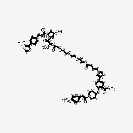 Cc1ncsc1-c1ccc(CNC(=O)[C@H]2C[C@@H](O)CN2C(=O)[C@@H](NC(=O)COCCOCCOCCNC(=O)CCCn2cnc(-c3cnc(O[C@@H]4CCN(C(=O)Cc5ccc(OC(F)(F)F)cc5)C[C@H]4F)c(C(N)=O)c3)c2)C(C)(C)C)cc1